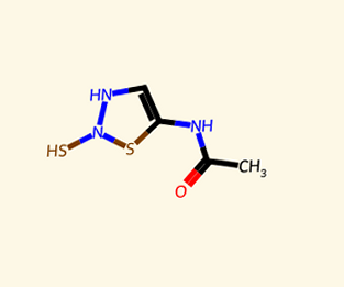 CC(=O)NC1=CNN(S)S1